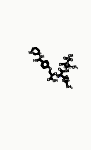 C[C@H]1[C@H](NC(=O)/C(=N\OC(COc2ccc(C(=N)N[C@@H]3CCCNC3)cc2)C(=O)O)c2nsc(N)n2)C(=O)N1S(=O)(=O)O